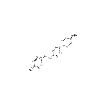 CCC[C@H]1CC[C@H](c2ccc(SCc3ccc(C#N)cc3)cc2)CC1